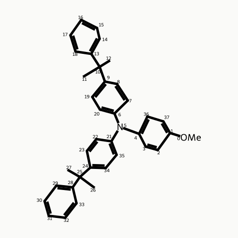 COc1ccc(N(c2ccc(C(C)(C)c3ccccc3)cc2)c2ccc(C(C)(C)c3ccccc3)cc2)cc1